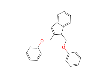 C1=C(COc2ccccc2)C(COc2ccccc2)c2ccccc21